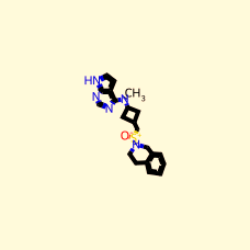 CN(c1ncnc2[nH]ccc12)C1CC(C[S+]([O-])N2CCc3ccccc3C2)C1